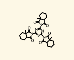 CC12CCCCC1C(=O)N(c1nc(N3C(=O)C4CCCCC4(C)C3=O)nc(N3C(=O)C4CCCCC4(C)C3=O)n1)C2=O